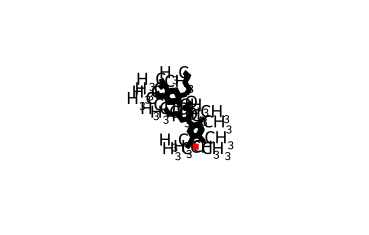 CCCCC(OC(=O)OC(CCCC)c1cc(C(C)(C)C)c(C(C)(C)C)cc1C(C)(C)C)c1cc(C(C)(C)C)c(C(C)(C)C)cc1C(C)(C)C